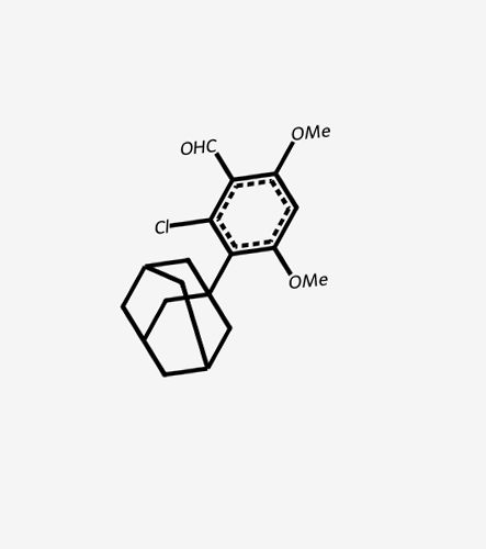 COc1cc(OC)c(C23CC4CC(CC(C4)C2)C3)c(Cl)c1C=O